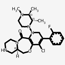 C[C@H]1[C@H](C)N(N2CC(c3ccccc3F)=C(Cl)C3=C2C(=O)N2CCNC[C@@H]2CO3)CCN1C